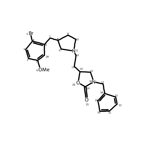 COc1ccc(Br)c(CC2CCN(CCC3CN(Cc4ccccc4)C(=O)O3)C2)c1